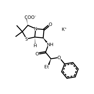 CC[C@H](Oc1ccccc1)C(=O)N[C@@H]1C(=O)N2[C@@H]1SC(C)(C)[C@@H]2C(=O)[O-].[K+]